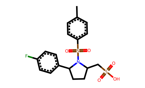 Cc1ccc(S(=O)(=O)N2C(CS(=O)(=O)O)CCC2c2ccc(F)cc2)cc1